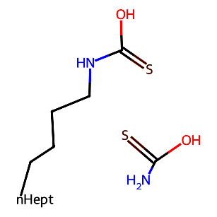 CCCCCCCCCCCNC(O)=S.NC(O)=S